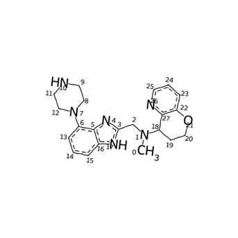 CN(Cc1nc2c(N3CCNCC3)cccc2[nH]1)C1CCOc2cccnc21